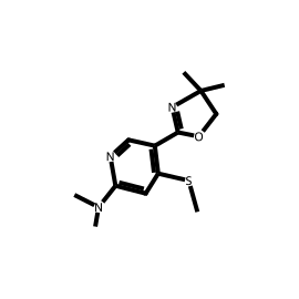 CSc1cc(N(C)C)ncc1C1=NC(C)(C)CO1